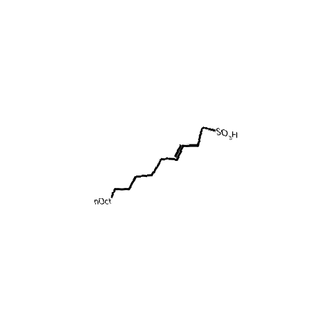 CCCCCCCCCCCCCC=CCCS(=O)(=O)O